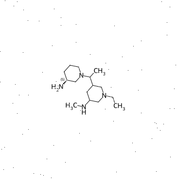 CCN1CC(NC)CC(C(C)N2CCC[C@H](N)C2)C1